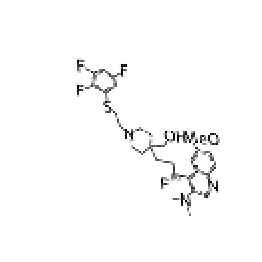 COc1ccc2ncc(N(C)C)c([C@H](F)CCC3(CO)CCN(CCSc4cc(F)cc(F)c4F)CC3)c2c1